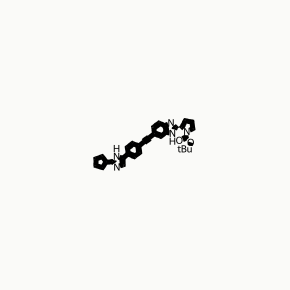 CC(C)(C)OC(=O)N1CCC[C@H]1c1nc2ccc(C#Cc3ccc(-c4cnc(C5CCCC5)[nH]4)cc3)cc2[nH]1